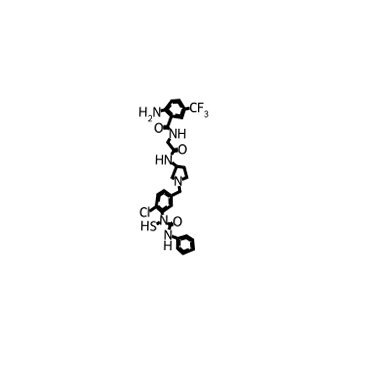 Nc1ccc(C(F)(F)F)cc1C(=O)NCC(=O)NC1CCN(Cc2ccc(Cl)c(N(S)C(=O)Nc3ccccc3)c2)C1